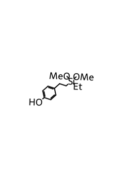 CC[Si](CCc1ccc(O)cc1)(OC)OC